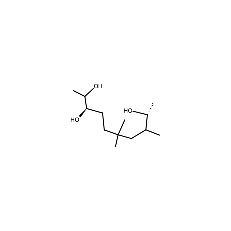 CC(O)[C@H](O)CCC(C)(C)CC(C)[C@@H](C)O